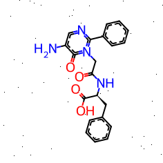 Nc1cnc(-c2ccccc2)n(CC(=O)N[C@@H](Cc2ccccc2)C(=O)O)c1=O